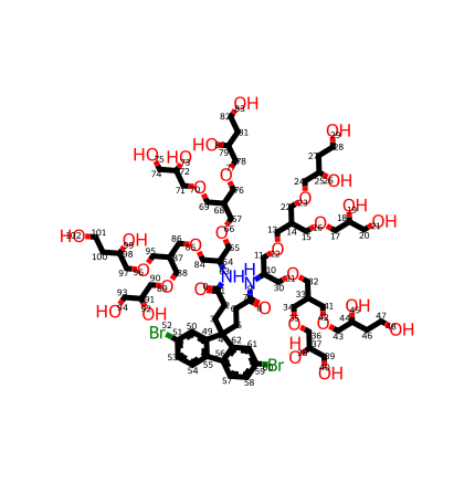 O=C(CCC1(CCC(=O)NC(COCC(COCC(O)CO)COCC(O)CCO)COCC(COCC(O)CO)COCC(O)CCO)c2cc(Br)ccc2-c2ccc(Br)cc21)NC(COCC(COCC(O)CO)COCC(O)CCO)COCC(COCC(O)CO)COCC(O)CCO